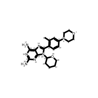 Cc1cc(N2CCOCC2)ccc1-c1nc2c(N)nc(N)nc2n1C1CCCCO1